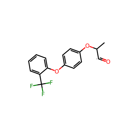 CC([C]=O)Oc1ccc(Oc2ccccc2C(F)(F)F)cc1